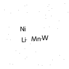 [Li].[Mn].[Ni].[W]